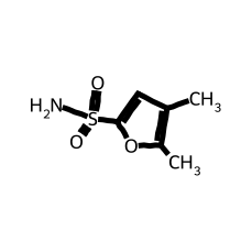 Cc1cc(S(N)(=O)=O)oc1C